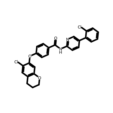 O=C(Nc1ccc(-c2ccccc2Cl)cn1)c1ccc(Oc2cc3c(cc2Cl)CCCO3)cc1